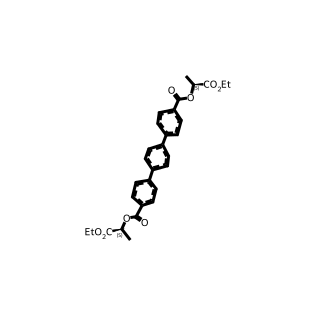 CCOC(=O)[C@H](C)OC(=O)c1ccc(-c2ccc(-c3ccc(C(=O)O[C@@H](C)C(=O)OCC)cc3)cc2)cc1